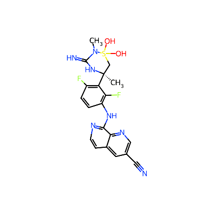 CN1C(=N)N[C@](C)(c2c(F)ccc(Nc3nccc4cc(C#N)cnc34)c2F)CS1(O)O